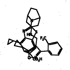 O=C(O)c1cc(C2CC2)c2nc(N3C4CCC3CC(NCc3c(-c5ccccc5C(F)(F)F)noc3C3CC3)C4)sc2c1